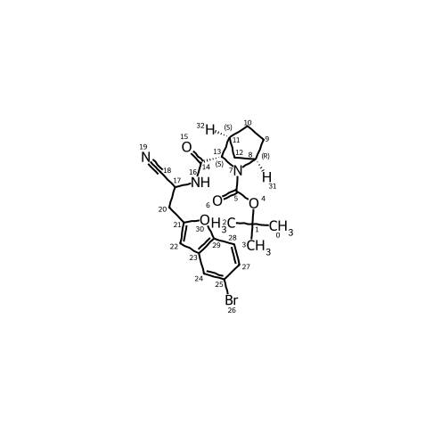 CC(C)(C)OC(=O)N1[C@@H]2CC[C@@H](C2)[C@H]1C(=O)NC(C#N)Cc1cc2cc(Br)ccc2o1